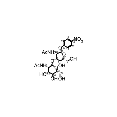 CC(=O)N[C@@H]1[C@H](O[C@H]2[C@@H](O)[C@@H](CO)O[C@H](Oc3ccc([N+](=O)[O-])cc3)[C@H]2NC(C)=O)O[C@H](CO)[C@@H](O)[C@@H]1O